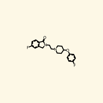 O=C1c2ccc(F)cc2CN1CCN1CCC(Oc2ccc(F)cc2)CC1